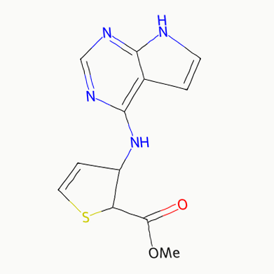 COC(=O)C1SC=CC1Nc1ncnc2[nH]ccc12